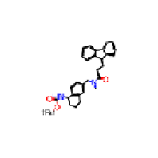 CN(Cc1ccc2c(c1)CCCC2NC(=O)OC(C)(C)C)C(=O)CCC1c2ccccc2-c2ccccc21